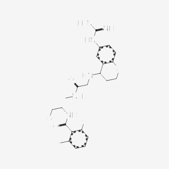 N=C(N)Nc1ccc2c(c1)C(NCC(=O)NC[C@@H](CO)NC(=O)c1c(Cl)cccc1Cl)CCO2